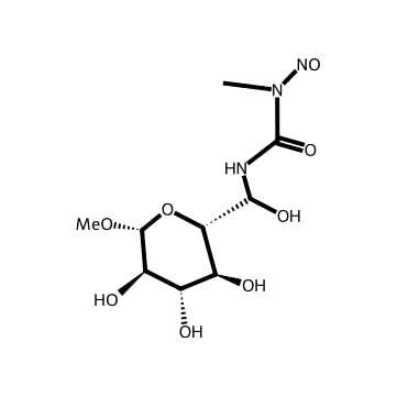 CO[C@@H]1O[C@H](C(O)NC(=O)N(C)N=O)[C@@H](O)[C@H](O)[C@H]1O